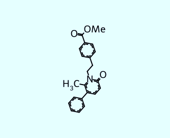 COC(=O)c1ccc(CCn2c(C)c(-c3ccccc3)ccc2=O)cc1